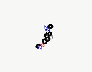 C[C@]12CC[C@H](Oc3ccccn3)CC1=CC[C@@H]1[C@@H]2CC[C@]2(C)C(n3cnc4ccccc43)=CC[C@@H]12